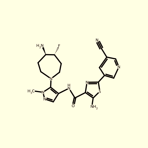 Cn1ncc(NC(=O)c2nc(-c3cncc(C#N)c3)sc2N)c1N1CC[C@@H](N)[C@H](F)CC1